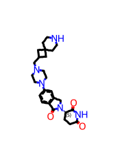 O=C1CC[C@H](N2Cc3cc(N4CCN(CC5CC6(CCNCC6)C5)CC4)ccc3C2=O)C(=O)N1